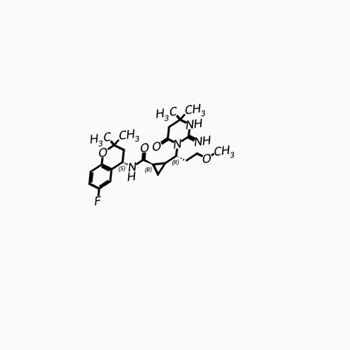 COCC[C@H](C1C[C@H]1C(=O)N[C@H]1CC(C)(C)Oc2ccc(F)cc21)N1C(=N)NC(C)(C)CC1=O